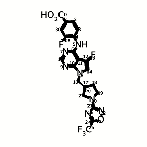 O=C(O)c1ccc(Nc2ncnc3c2c(F)cn3C[C@H]2CCN(c3noc(C(F)(F)F)n3)C2)c(F)c1